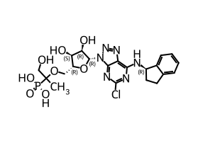 CC(CO)(OC[C@H]1O[C@@H](n2nnc3c(N[C@@H]4CCc5ccccc54)nc(Cl)nc32)[C@H](O)[C@@H]1O)P(=O)(O)O